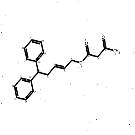 CC(=O)CC(=O)OCC=CCC(c1ccccc1)c1ccccc1